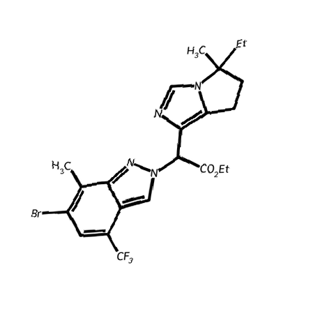 CCOC(=O)C(c1ncn2c1CCC2(C)CC)n1cc2c(C(F)(F)F)cc(Br)c(C)c2n1